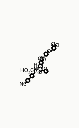 N#Cc1ccc(-c2ccc(CC(NC(=O)[C@@H]3Cc4cc5c(cc4CN3C(=O)c3ccccn3)O[C@@H](c3ccc(OCc4ccc(Cl)c(Cl)c4)cc3)CO5)C(=O)O)cc2)cc1